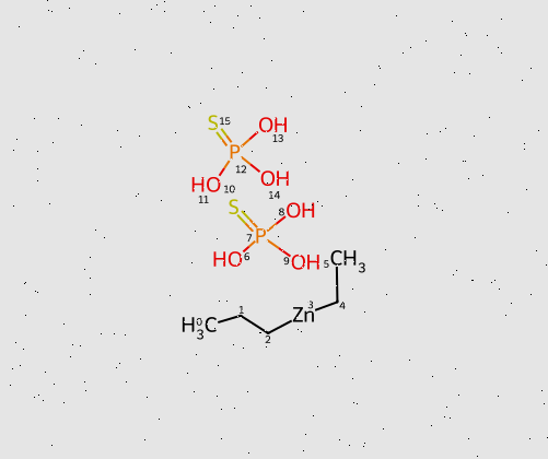 CC[CH2][Zn][CH2]C.OP(O)(O)=S.OP(O)(O)=S